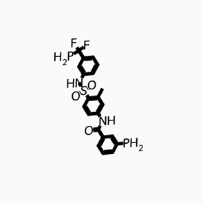 Cc1cc(NC(=O)c2cccc(P)c2)ccc1S(=O)(=O)Nc1cccc(C(F)(F)P)c1